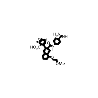 COCCOc1cccc2cc(-c3ccccc3C(=O)O)c(C(=O)Nc3ccc(C(=N)N)cc3)cc12.CS(=O)(=O)O